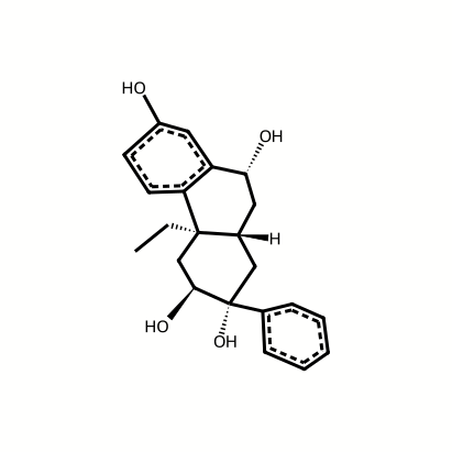 CC[C@@]12C[C@H](O)[C@](O)(c3ccccc3)C[C@H]1C[C@@H](O)c1cc(O)ccc12